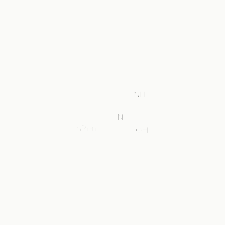 CCCCCCN1CCNCC1O